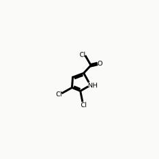 O=C(Cl)c1cc(Cl)c(Cl)[nH]1